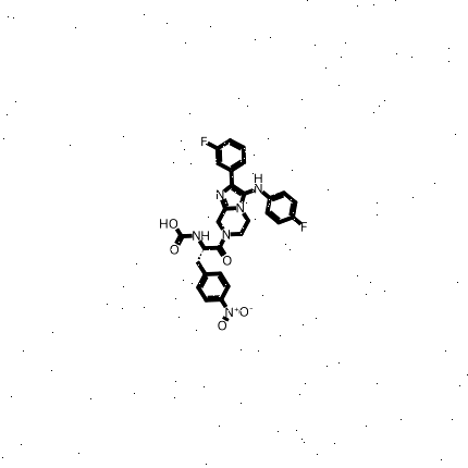 O=C(O)N[C@@H](Cc1ccc([N+](=O)[O-])cc1)C(=O)N1CCn2c(nc(-c3cccc(F)c3)c2Nc2ccc(F)cc2)C1